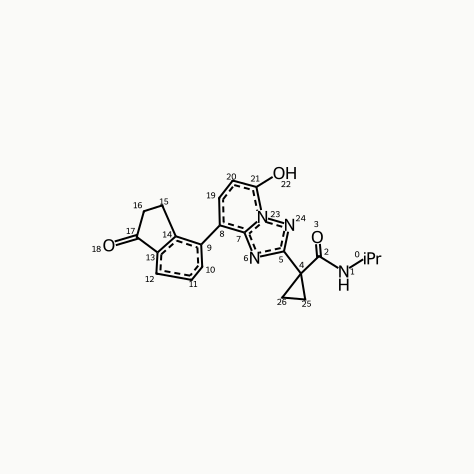 CC(C)NC(=O)C1(c2nc3c(-c4cccc5c4CCC5=O)ccc(O)n3n2)CC1